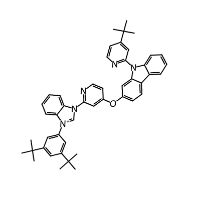 CC(C)(C)c1cc(-[n+]2cn(-c3cc(Oc4ccc5c6ccccc6n(-c6cc(C(C)(C)C)ccn6)c5c4)ccn3)c3ccccc32)cc(C(C)(C)C)c1